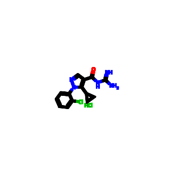 Cl.N=C(N)NC(=O)c1cnn(-c2ccccc2Cl)c1C1CC1